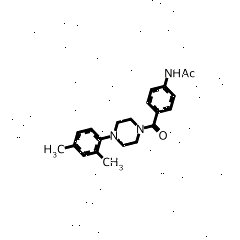 CC(=O)Nc1ccc(C(=O)N2CCN(c3ccc(C)cc3C)CC2)cc1